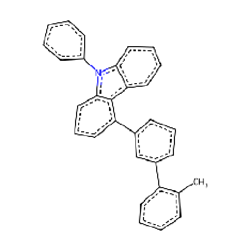 Cc1ccccc1-c1cccc(-c2cccc3c2c2ccccc2n3-c2ccccc2)c1